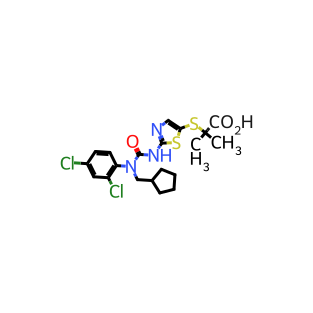 CC(C)(Sc1cnc(NC(=O)N(CC2CCCC2)c2ccc(Cl)cc2Cl)s1)C(=O)O